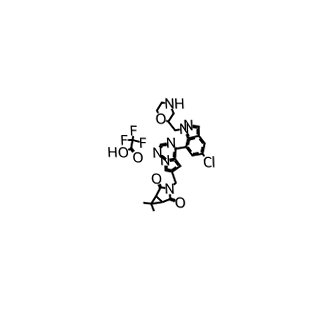 CC1(C)C2C(=O)N(Cc3cc4c(-c5cc(Cl)cc6cnn(CC7CNCCO7)c56)ncnn4c3)C(=O)C21.O=C(O)C(F)(F)F